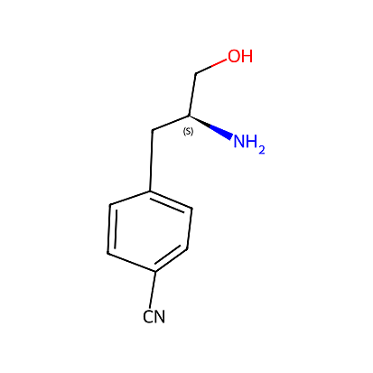 N#Cc1ccc(C[C@H](N)CO)cc1